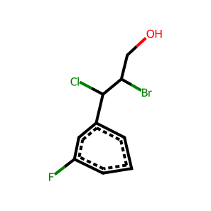 OCC(Br)C(Cl)c1cccc(F)c1